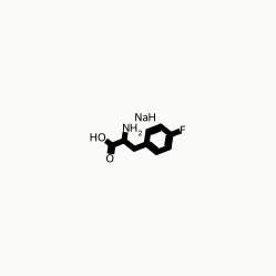 NC(Cc1ccc(F)cc1)C(=O)O.[NaH]